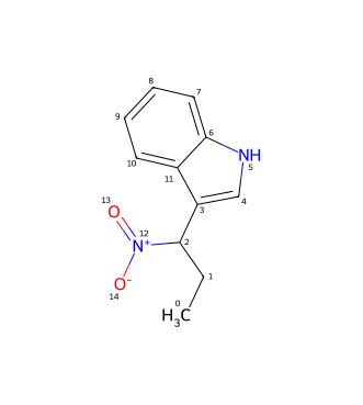 CCC(c1c[nH]c2ccccc12)[N+](=O)[O-]